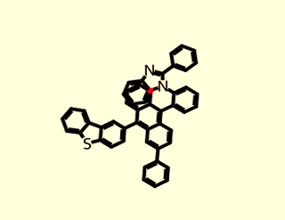 c1ccc(-c2ccc3c(-c4ccccc4-n4c(-c5ccccc5)nc5ccccc54)c4ccccc4c(-c4ccc5sc6ccccc6c5c4)c3c2)cc1